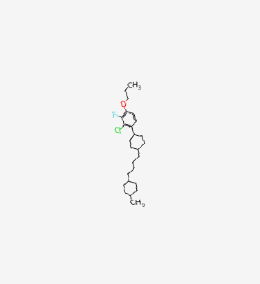 CCCOc1ccc(C2CCC(CCCCC3CCC(C)CC3)CC2)c(Cl)c1F